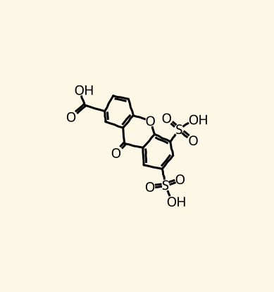 O=C(O)c1ccc2oc3c(S(=O)(=O)O)cc(S(=O)(=O)O)cc3c(=O)c2c1